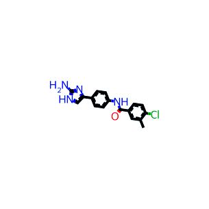 Cc1cc(C(=O)Nc2ccc(-c3c[nH]c(N)n3)cc2)ccc1Cl